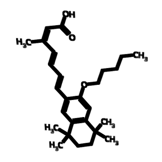 CCCCCOc1cc2c(cc1/C=C/C=C/C(C)=C\C(=O)O)C(C)(C)CCC2(C)C